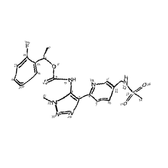 C[C@@H](OC(=O)Nc1c(-c2ccc(NS(C)(=O)=O)cn2)nnn1C)c1ccccc1F